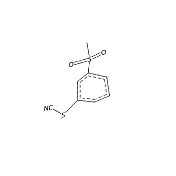 CS(=O)(=O)c1[c]ccc(SC#N)c1